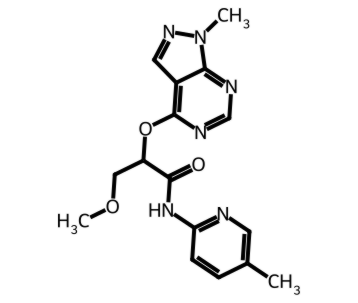 COCC(Oc1ncnc2c1cnn2C)C(=O)Nc1ccc(C)cn1